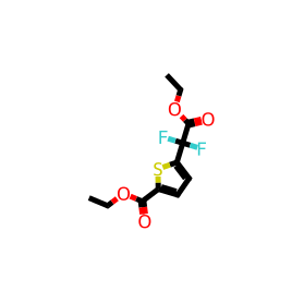 CCOC(=O)c1ccc(C(F)(F)C(=O)OCC)s1